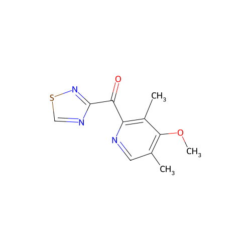 COc1c(C)cnc(C(=O)c2ncsn2)c1C